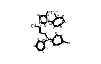 Cc1ccc(B(CC=CCl)c2ccccc2)cc1.Cc1cncn1-c1ccccc1Cl